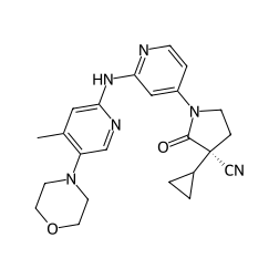 Cc1cc(Nc2cc(N3CC[C@@](C#N)(C4CC4)C3=O)ccn2)ncc1N1CCOCC1